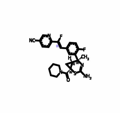 C[C@]1(c2cc(/C=C(\F)c3ccc(C#N)cn3)ccc2F)N=C(N)S[C@@]2(C(=O)N3CCCCC3)C[C@H]21